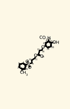 Cc1cccc(S(=O)(=O)CCCOC(=O)CCOc2ccc(O)c(C(=O)O)c2)c1